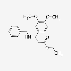 CCOC(=O)CC(NCc1ccccc1)c1ccc(OC)c(OC)c1